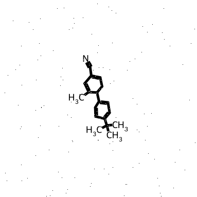 CC1=CC(C#N)=CCC1c1ccc(C(C)(C)C)cc1